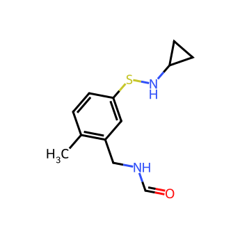 Cc1ccc(SNC2CC2)cc1CNC=O